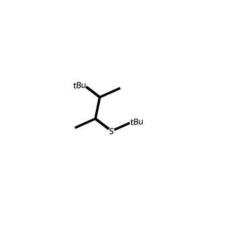 CC(SC(C)(C)C)C(C)C(C)(C)C